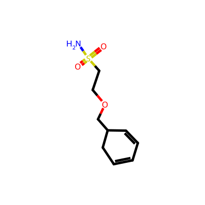 NS(=O)(=O)CCOCC1C=CC=CC1